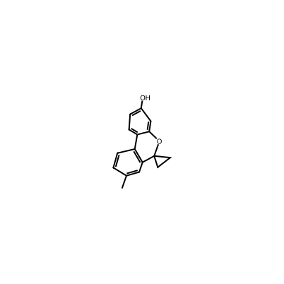 Cc1ccc2c(c1)C1(CC1)Oc1cc(O)ccc1-2